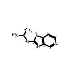 CC(C)Oc1nc2cnccc2s1